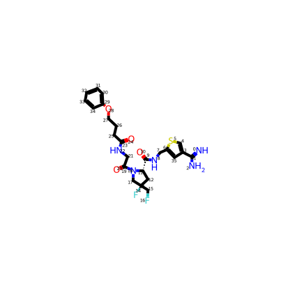 N=C(N)c1csc(CNC(=O)[C@@H]2C[C@](F)(CF)CN2C(=O)CNC(=O)CCCOc2ccccc2)c1